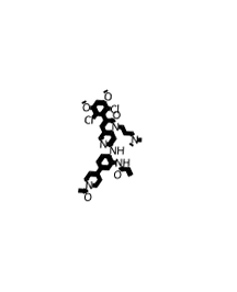 C=CC(=O)Nc1cc(C2=CCN(C(C)=O)CC2)ccc1Nc1cc2c(cn1)cc(-c1c(Cl)c(OC)cc(OC)c1Cl)c(=O)n2CCCN(C)C